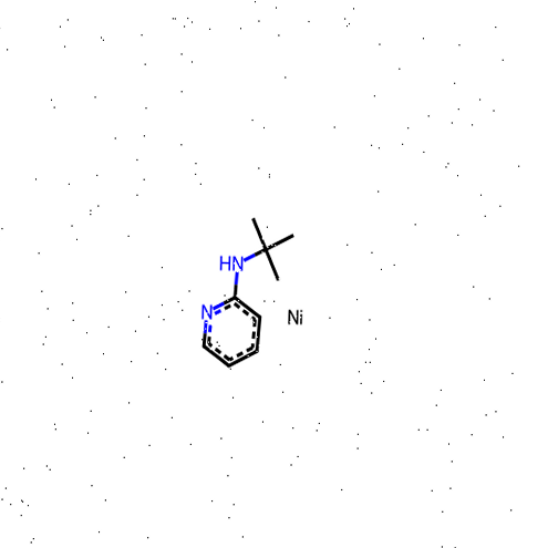 CC(C)(C)Nc1ccccn1.[Ni]